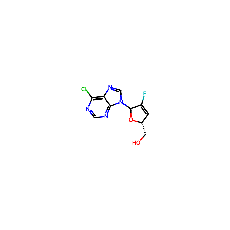 OC[C@H]1C=C(F)C(n2cnc3c(Cl)ncnc32)O1